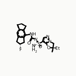 CC[C@]1(C)Cn2ncc([S@@](N)(=O)=NC(=O)Nc3c4c(cc5c3C[C@H](F)C5)CCC4)c2O1